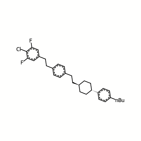 CCCCc1ccc([C@H]2CC[C@H](CCc3ccc(CCc4cc(F)c(Cl)c(F)c4)cc3)CC2)cc1